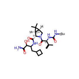 C=C(C)[C@H](NC(=O)NC(C)(C)C)C(=O)N1C[C@H]2[C@@H]([C@H]1C(=O)NC(CC1CCC1)C(O)C(N)=O)C2(C)C